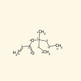 C=CC(=O)OC(C)(CC)CCC